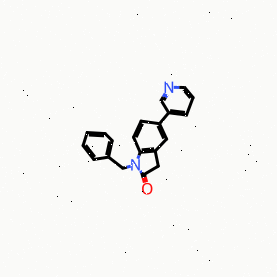 O=C1Cc2cc(-c3cccnc3)ccc2N1Cc1ccccc1